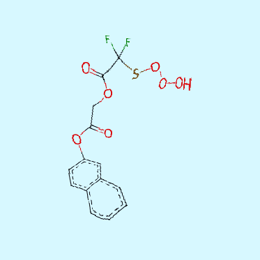 O=C(COC(=O)C(F)(F)SOOO)Oc1ccc2ccccc2c1